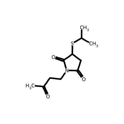 CC(=O)CCN1C(=O)CC(SC(C)C)C1=O